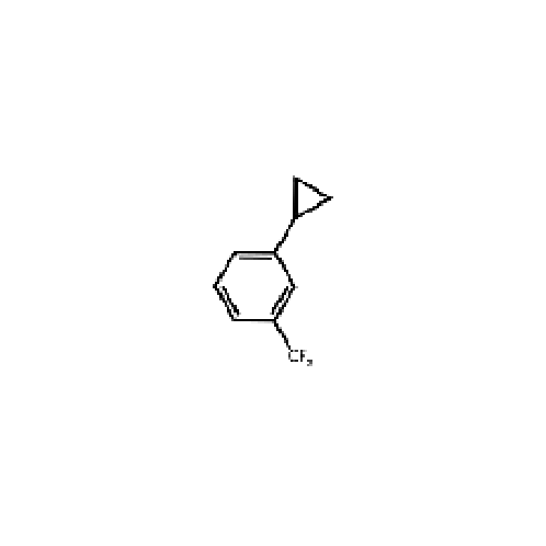 FC(F)(F)c1cccc(C2CC2)c1